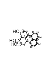 O=S(=O)(O)CC1=C(CS(=O)(=O)O)C(CS(=O)(=O)O)c2cccc3cccc1c23